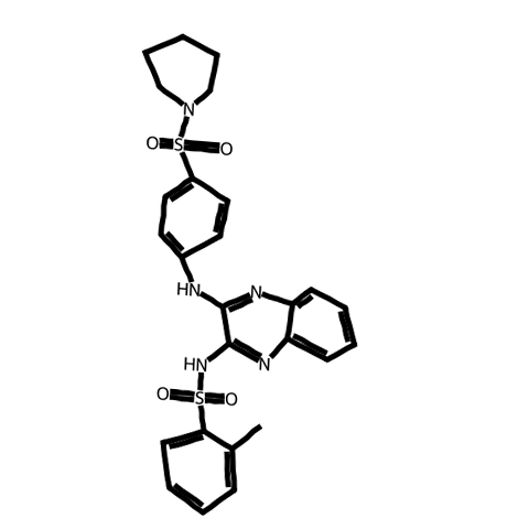 Cc1ccccc1S(=O)(=O)Nc1nc2ccccc2nc1Nc1ccc(S(=O)(=O)N2CCCCC2)cc1